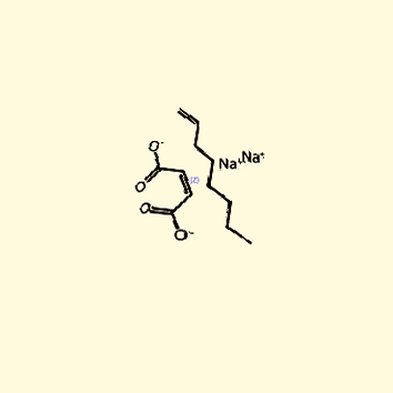 C=CCCCCCC.O=C([O-])/C=C\C(=O)[O-].[Na+].[Na+]